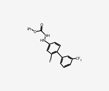 CC(C)OC(=O)NNc1ccc(-c2cccc(C(F)(F)F)c2)c(F)c1